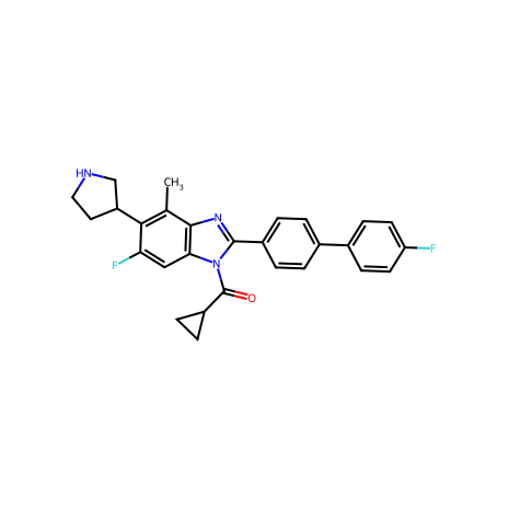 Cc1c(C2CCNC2)c(F)cc2c1nc(-c1ccc(-c3ccc(F)cc3)cc1)n2C(=O)C1CC1